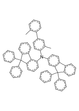 Cc1ccccc1-c1ccc(N(c2ccc3c(c2)C(c2ccccc2)(c2ccccc2)c2ccccc2-3)c2cccc3c2-c2ccccc2C3(c2ccccc2)c2ccccc2)c(C)c1